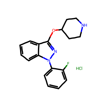 Cl.Fc1ccccc1-n1nc(OC2CCNCC2)c2ccccc21